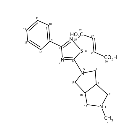 CN1CC2CN(c3nc(-c4ccccc4)ns3)CC2C1.O=C(O)C=CC(=O)O